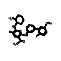 COc1ccc(F)c(-c2cncc(Nc3nc(NC4CCCCC4N)c(F)cc3C(N)=O)c2)c1